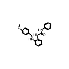 COc1ccc(CNc2ccccc2NC(=O)Nc2ccccc2)cc1